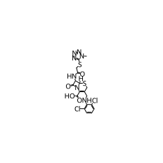 Cn1nnnc1SCC(=O)NC1C(=O)N2C(C(=O)O)=C(CNc3c(Cl)cccc3Cl)CS[C@@H]12